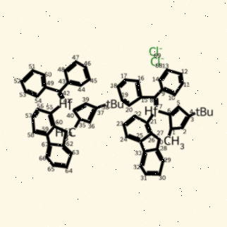 CC1C=C(C(C)(C)C)C=[C]1[Hf](=[C](c1ccccc1)c1ccccc1)[c]1cccc2c1Cc1ccccc1-2.CC1C=C(C(C)(C)C)C=[C]1[Hf](=[C](c1ccccc1)c1ccccc1)[c]1cccc2c1Cc1ccccc1-2.[Cl-].[Cl-]